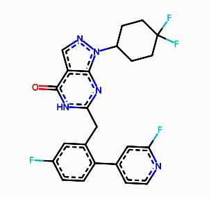 O=c1[nH]c(Cc2cc(F)ccc2-c2ccnc(F)c2)nc2c1cnn2C1CCC(F)(F)CC1